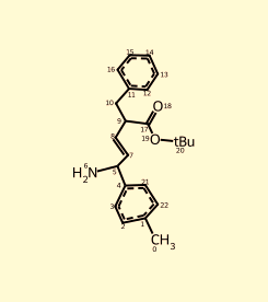 Cc1ccc(C(N)C=CC(Cc2ccccc2)C(=O)OC(C)(C)C)cc1